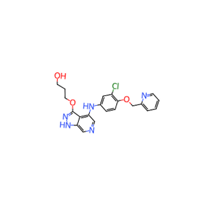 OCCCOc1n[nH]c2cncc(Nc3ccc(OCc4ccccn4)c(Cl)c3)c12